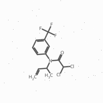 C=CC(C)N(C(=O)C(Cl)Cl)c1cccc(C(F)(F)F)c1